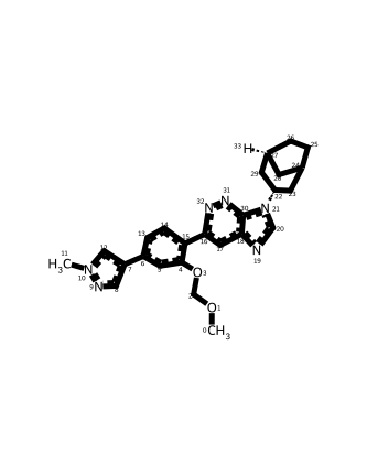 COCOc1cc(-c2cnn(C)c2)ccc1-c1cc2ncn([C@H]3CC4CC[C@@H](C4)C3)c2nn1